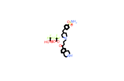 NS(=O)(=O)c1ccc(CC2CCN(CCCC(=O)c3ccc4c(c3)CCNCC4)CC2)cc1.O=C(O)C(F)(F)F.O=C(O)C(F)(F)F